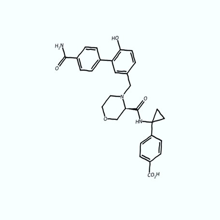 NC(=O)c1ccc(-c2cc(CN3CCOC[C@@H]3C(=O)NC3(c4ccc(C(=O)O)cc4)CC3)ccc2O)cc1